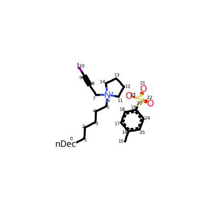 CCCCCCCCCCCCCCC[N+]1(CC#CI)CCCC1.Cc1ccc(S(=O)(=O)[O-])cc1